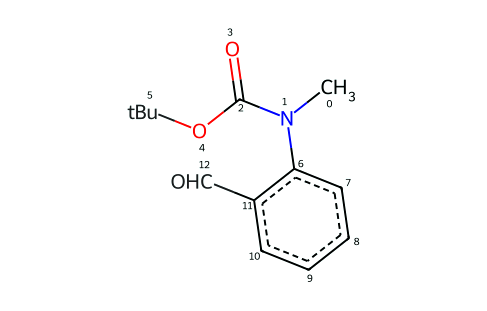 CN(C(=O)OC(C)(C)C)c1ccccc1C=O